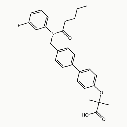 CCCCC(=O)N(Cc1ccc(-c2ccc(OC(C)(C)C(=O)O)cc2)cc1)c1cccc(F)c1